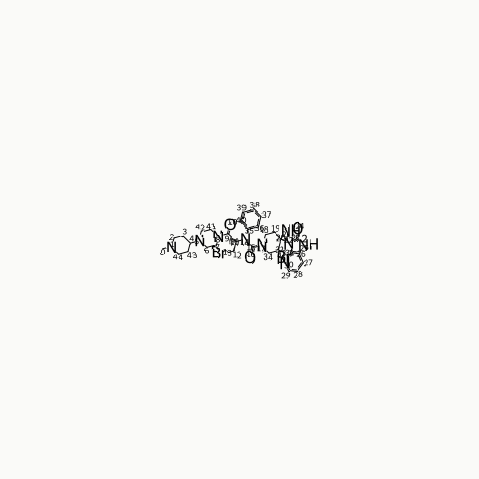 CN1CCC(N2CCN(C(=O)[C@H](CBr)N(C(=O)N3CCC(N)(n4c(=O)[nH]c5cccnc54)C(Br)C3)c3ccccc3)CC2)CC1